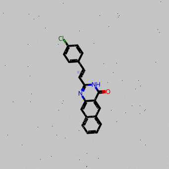 O=c1[nH]c(/C=C/c2ccc(Cl)cc2)nc2cc3ccccc3cc12